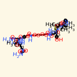 CCCO[C@H](C[C@H](C(C)C)N(CCC)C(=O)[C@@H](NC(=O)[C@H]1CCCCN1C)[C@@H](C)CC)c1nc(C(=O)N[C@@H](Cc2ccc(O)cc2)C[C@H](C)C(=O)NNC(=O)OCCOCCOCCOCCNC(=O)OCc2ccc(NC(=O)[C@H](CCCNC(N)=O)NC(=O)[C@@H](NC(=O)CCCCCN3C(=O)CC(N)C3=O)C(C)C)cc2)cs1